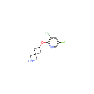 Fc1cnc(OC2CC3(CNC3)C2)c(Cl)c1